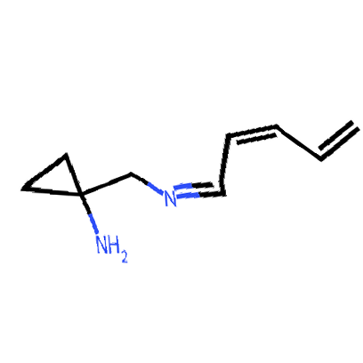 C=C/C=C\C=N/CC1(N)CC1